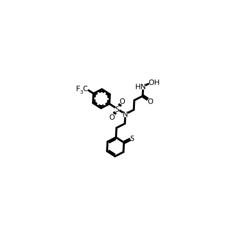 O=C(CCN(CCC1=CC=CCC1=S)S(=O)(=O)c1ccc(C(F)(F)F)cc1)NO